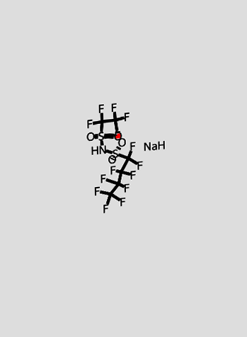 O=S(=O)(NS(=O)(=O)C(F)(F)C(F)(F)C(F)(F)C(F)(F)F)C(F)(F)C(F)(F)F.[NaH]